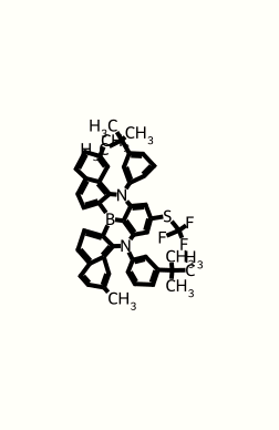 Cc1ccc2ccc3c(c2c1)N(c1cccc(C(C)(C)C)c1)c1cc(SC(F)(F)F)cc2c1B3c1ccc3ccc(C)cc3c1N2c1cccc(C(C)(C)C)c1